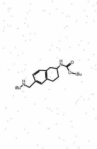 CCC(C)NCc1ccc2c(c1)CCC(NC(=O)OC(C)(C)C)C2